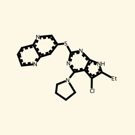 CCc1[nH]c2nc(Sc3cnc4cccnc4c3)nc(N3CCCC3)c2c1Cl